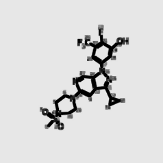 CS(=O)(=O)N1CCN(c2cc3c(C4CC4)nn(-c4cc(O)c(F)c(C(F)(F)F)c4)c3cn2)CC1